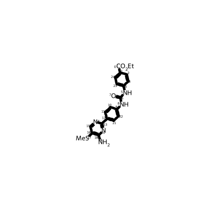 CCOC(=O)c1ccc(NC(=O)Nc2ccc(-c3ncc(SC)c(N)n3)cc2)cc1